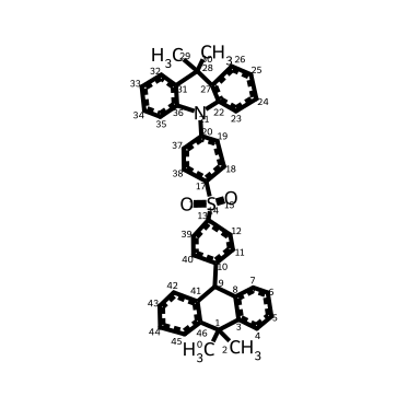 CC1(C)c2ccccc2C(c2ccc(S(=O)(=O)c3ccc(N4c5ccccc5C(C)(C)c5ccccc54)cc3)cc2)c2ccccc21